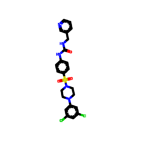 O=C(NCc1cccnc1)Nc1ccc(S(=O)(=O)N2CCN(c3cc(Cl)cc(Cl)c3)CC2)cc1